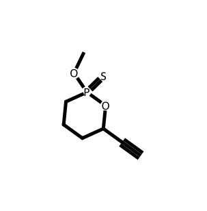 C#CC1CCCP(=S)(OC)O1